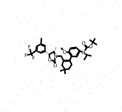 COc1ccc(N(C(=O)OC(C)(C)C)C(C)C)cc1C1=C(CN2C(=O)O[C@H](c3cc(C)cc(C(F)(F)F)c3)[C@@H]2C)CC(C)(C)CC1